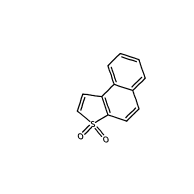 O=S1(=O)C=Cc2c1ccc1ccccc21